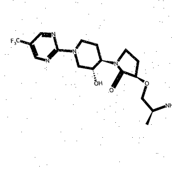 C[C@H](N)CO[C@@H]1CCN([C@@H]2CCN(c3ncc(C(F)(F)F)cn3)C[C@H]2O)C1=O